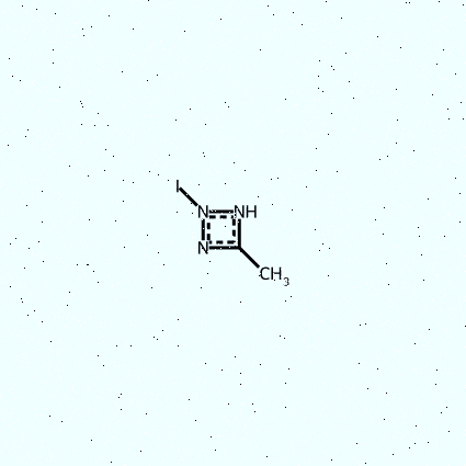 Cc1nn(I)[nH]1